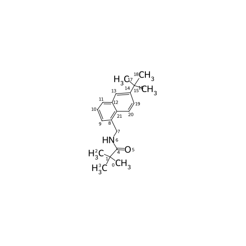 CC(C)(C)C(=O)NCc1cccc2cc(C(C)(C)C)ccc12